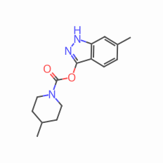 Cc1ccc2c(OC(=O)N3CCC(C)CC3)n[nH]c2c1